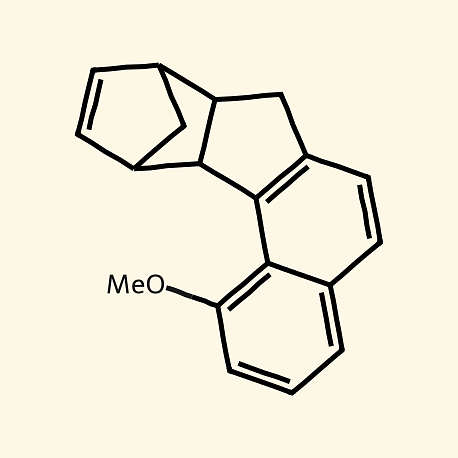 COc1cccc2ccc3c(c12)C1C2C=CC(C2)C1C3